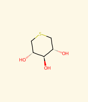 O[C@H]1[C@H](O)CSC[C@@H]1O